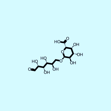 O=C[C@H](O)[C@@H](O)[C@H](O)[C@H](O)CO[C@H]1O[C@H](C(=O)O)[C@H](O)[C@H](O)[C@H]1O